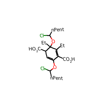 CCCCCC(Cl)OC1=CC(C(=O)O)C(CC)(OC(Cl)CCCCC)C(CC)=C1C(=O)O